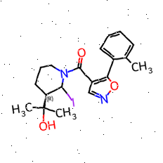 Cc1ccccc1-c1oncc1C(=O)N1CCC[C@H](C(C)(C)O)C1I